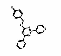 Fc1ccc(COc2cc(-c3ccccc3)nc(-c3ccncc3)n2)cc1